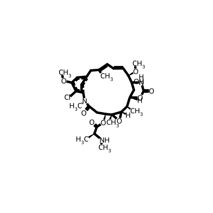 CN[C@@H](C)C(=O)O[C@H]1CC(=O)N(C)c2cc(cc(OC)c2Cl)C/C(C)=C/C=C/[C@@H](OC)[C@@]2(O)C[C@H](OC(=O)N2)[C@@H](C)[C@@H]2O[C@]12C